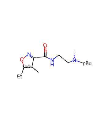 CCCCN(C)CCNC(=O)c1noc(CC)c1C